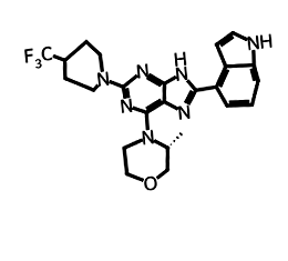 C[C@@H]1COCCN1c1nc(N2CCC(C(F)(F)F)CC2)nc2[nH]c(-c3cccc4[nH]ccc34)nc12